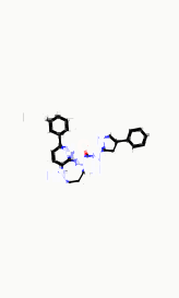 O=C(NC1=NC=C(c2ccccc2)C1)N1CCCNc2ccc(-c3cccc(C(F)(F)F)c3)nc21